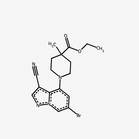 CCOC(=O)C1(C)CCN(c2cc(Br)cn3ncc(C#N)c23)CC1